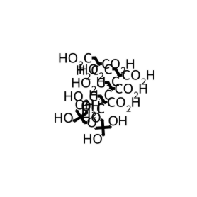 C=C(CC(=O)O)C(=O)O.C=C(CC(=O)O)C(=O)O.C=C(CC(=O)O)C(=O)O.C=C(CC(=O)O)C(=O)O.OCC(CO)(CO)COCC(CO)(CO)CO